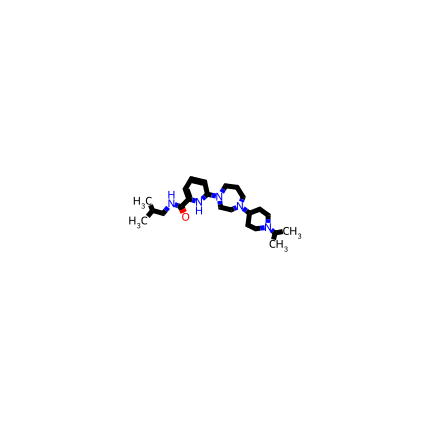 CC(C)CNC(=O)C1=CC=CC(N2CCCN(C3CCN(C(C)C)CC3)CC2)N1